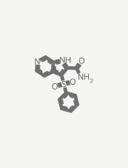 NC(=O)c1[nH]c2cnccc2c1S(=O)(=O)c1ccccc1